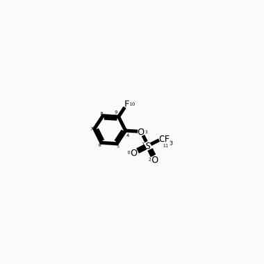 O=S(=O)(Oc1ccccc1F)C(F)(F)F